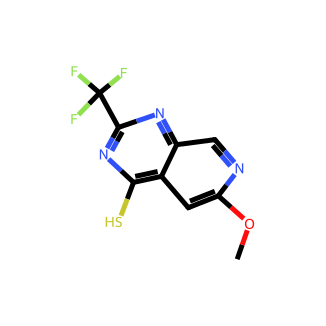 COc1cc2c(S)nc(C(F)(F)F)nc2cn1